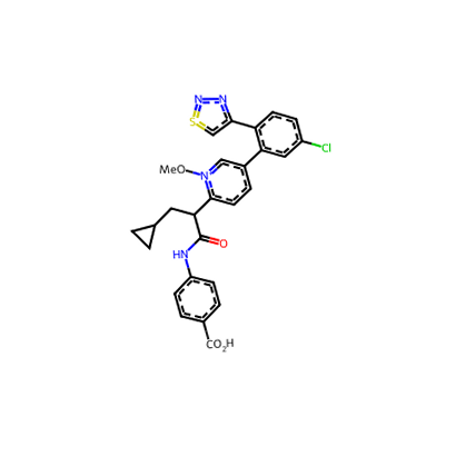 CO[n+]1cc(-c2cc(Cl)ccc2-c2csnn2)ccc1C(CC1CC1)C(=O)Nc1ccc(C(=O)O)cc1